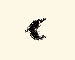 NCCNCCN.O=P([O-])([O-])OP(=O)([O-])OP(=O)([O-])OP(=O)([O-])OP(=O)([O-])[O-].O=P([O-])([O-])OP(=O)([O-])OP(=O)([O-])OP(=O)([O-])OP(=O)([O-])[O-].O=P([O-])([O-])OP(=O)([O-])OP(=O)([O-])OP(=O)([O-])OP(=O)([O-])[O-].[Fe+3].[Fe+3].[Fe+3].[Fe+3].[Fe+3].[Fe+3].[Fe+3]